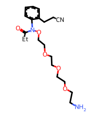 CCC(=O)N(OCCOCCOCCOCCN)c1ccccc1CCC#N